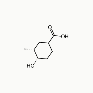 C[C@@H]1CC(C(=O)O)CC[C@@H]1O